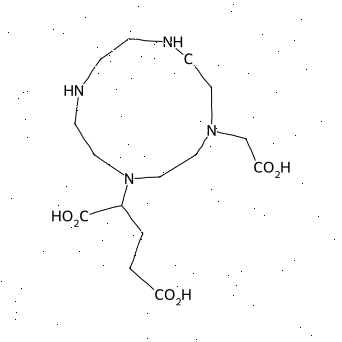 O=C(O)CCC(C(=O)O)N1CCNCCNCCN(CC(=O)O)CC1